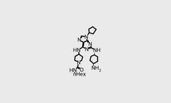 CCCCCCNC(=O)N1CCC(Nc2nc(N[C@H]3CC[C@H](N)CC3)nc3c2ncn3C2CCCC2)CC1